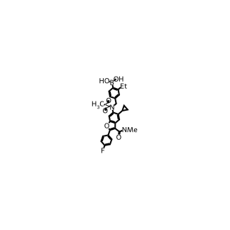 CCc1cc(CN(c2cc3oc(-c4ccc(F)cc4)c(C(=O)NC)c3cc2C2CC2)S(C)(=O)=O)ccc1B(O)O